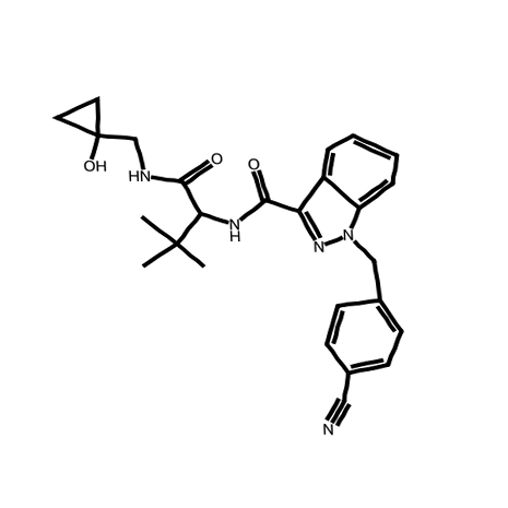 CC(C)(C)C(NC(=O)c1nn(Cc2ccc(C#N)cc2)c2ccccc12)C(=O)NCC1(O)CC1